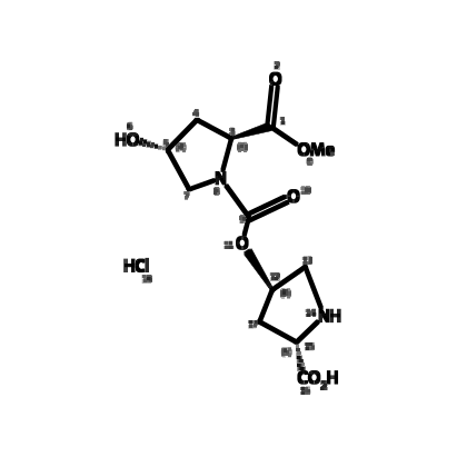 COC(=O)[C@@H]1C[C@@H](O)CN1C(=O)O[C@H]1CN[C@H](C(=O)O)C1.Cl